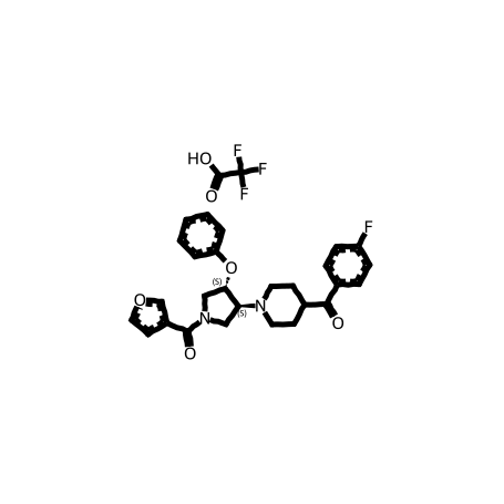 O=C(O)C(F)(F)F.O=C(c1ccc(F)cc1)C1CCN([C@H]2CN(C(=O)c3ccoc3)C[C@@H]2Oc2ccccc2)CC1